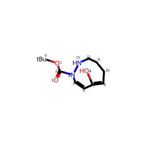 CC(C)(C)OC(=O)N1/C=C\C(O)=C\CCCN1